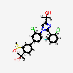 C[S+]([O-])c1cc(-c2ccc(-n3cc(C(C)(C)O)nc3-c3c(F)cccc3Cl)c(Cl)c2)ccc1C(C)(C)O